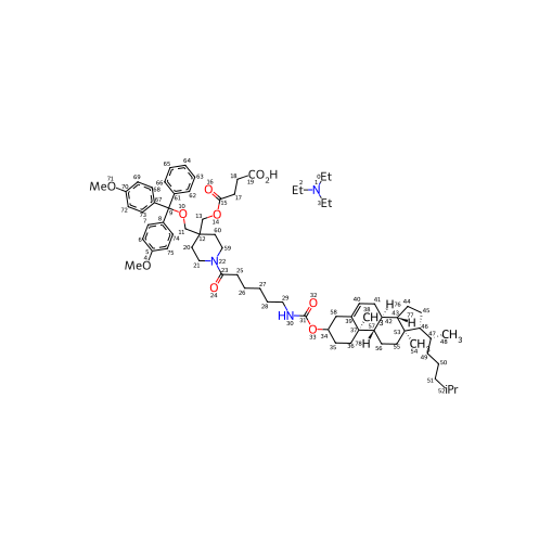 CCN(CC)CC.COc1ccc(C(OCC2(COC(=O)CCC(=O)O)CCN(C(=O)CCCCCNC(=O)OC3CC[C@@]4(C)C(=CC[C@H]5[C@@H]6CC[C@H]([C@H](C)CCCC(C)C)[C@@]6(C)CC[C@@H]54)C3)CC2)(c2ccccc2)c2ccc(OC)cc2)cc1